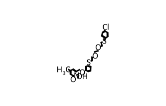 Cc1cc(COc2cccc(SCCOCCOCCSc3ccc(Cl)cc3)c2)n(O)c(=O)c1